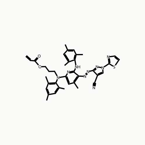 C=CC(=O)OCCCN(c1cc(C)c(N=Nc2nn(-c3nccs3)cc2C#N)c(Nc2c(C)cc(C)cc2C)n1)c1c(C)cc(C)cc1C